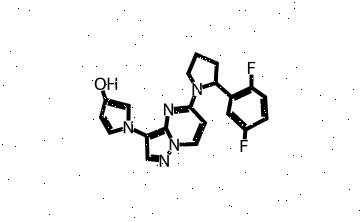 Oc1ccn(-c2cnn3ccc(N4CCCC4c4cc(F)ccc4F)nc23)c1